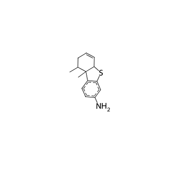 CC1CC=CC2Sc3cc(N)ccc3C12C